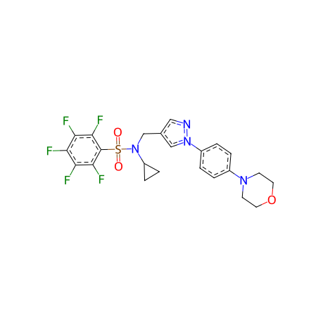 O=S(=O)(c1c(F)c(F)c(F)c(F)c1F)N(Cc1cnn(-c2ccc(N3CCOCC3)cc2)c1)C1CC1